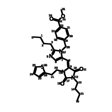 CCCCc1ncc(C=C2C(=O)N(CCCC)C(=O)N2CCc2cccs2)n1Cc1ccc(C(=O)OC)cc1